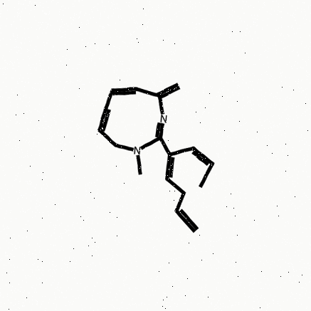 C=CC/C=C(\C=C/C)C1=N/C(=C)/C=C\C=C/CN\1C